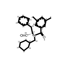 Cc1cc(C)cc(C(=O)N(CC2CCCCC2)[C@H]([C]=O)Cc2ccccc2)c1